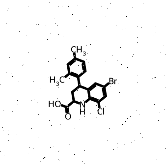 Cc1ccc(C2CC(C(=O)O)Nc3c(Cl)cc(Br)cc32)c(C)c1